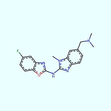 CN(C)Cc1ccc2nc(Nc3nc4cc(F)ccc4o3)n(C)c2c1